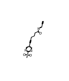 C#CC=NC(=O)CCCC#Cc1cnc(S(C)(=O)=O)nc1